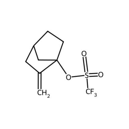 C=C1CC2CCC1(OS(=O)(=O)C(F)(F)F)C2